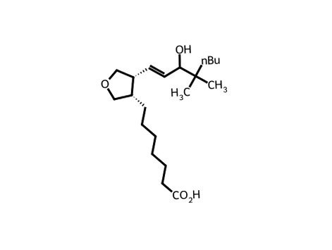 CCCCC(C)(C)C(O)/C=C/[C@H]1COC[C@H]1CCCCCCC(=O)O